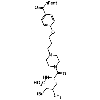 CCCCCC(=O)c1ccc(OCCCN2CCN(C(=O)[C@H](CC(C)CC(C)(C)C)NC(=O)O)CC2)cc1